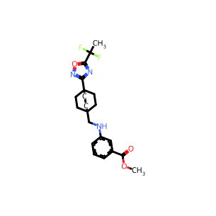 COC(=O)c1cccc(NCC23CCC(c4noc(C(C)(F)F)n4)(CC2)CC3)c1